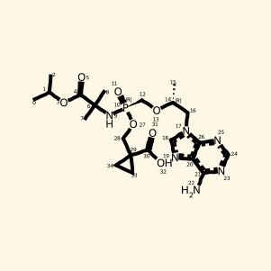 CC(C)OC(=O)C(C)(C)N[P@@](=O)(CO[C@H](C)Cn1cnc2c(N)ncnc21)OCC1(C(=O)O)CC1